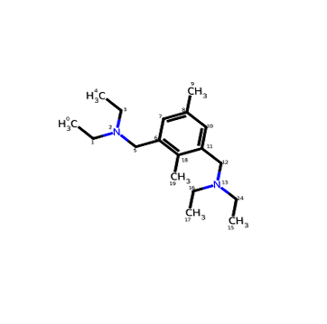 CCN(CC)Cc1cc(C)cc(CN(CC)CC)c1C